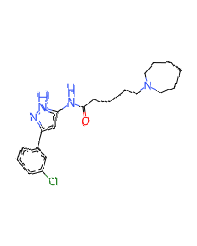 O=C(CCCCN1CCCCCC1)Nc1cc(-c2cccc(Cl)c2)n[nH]1